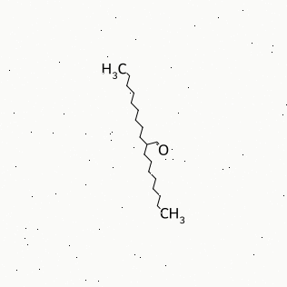 CCCCCCCCCC(C=O)CCCCCCCC